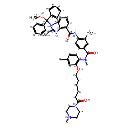 COc1cc(C(=O)N(C)c2ccc(C)cc2OCCCCCC(=O)N2CCN(C)CC2)ccc1NC(=O)c1cccc2c1nc(C(C)(C)C)n2C(O[SiH3])(c1ccccc1)c1ccccc1